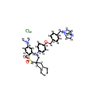 CCCCC1(CCCC)CN(c2ccc(OCc3ccc(C[N+]45CCN(CC4)CC5)cc3)cc2)c2cc(N(C)C)ccc2S(=O)(=O)C1.[Cl-]